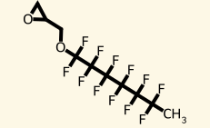 CC(F)(F)C(F)(F)C(F)(F)C(F)(F)C(F)(F)C(F)(F)OCC1CO1